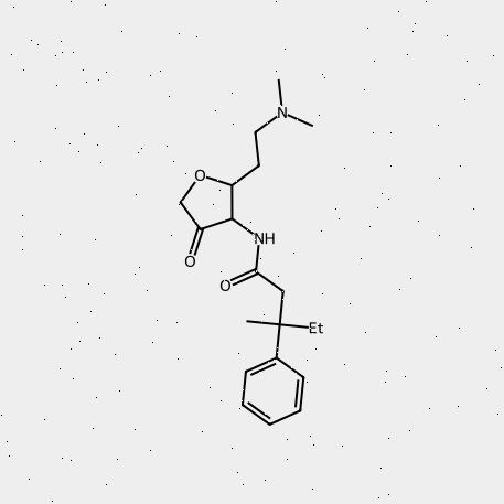 [CH2]CC(C)(CC(=O)NC1C(=O)COC1CCN(C)C)c1ccccc1